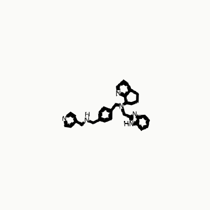 c1cnc2c(c1)CCCC2N(Cc1ccc(CNCc2ccncc2)cc1)Cc1nc2ccccc2[nH]1